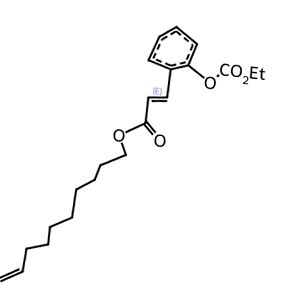 C=CCCCCCCCCOC(=O)/C=C/c1ccccc1OC(=O)OCC